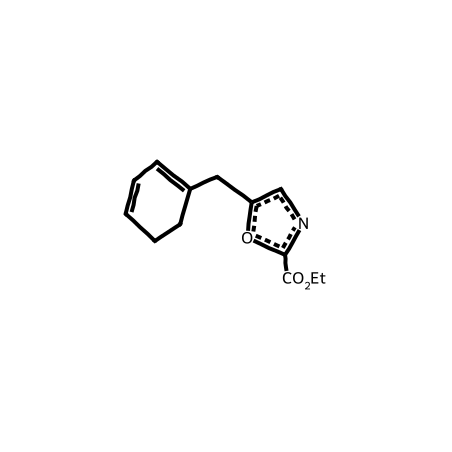 CCOC(=O)c1ncc(CC2=CC=CCC2)o1